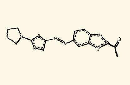 CC(=O)c1nc2ccc(/N=N/c3cnc(N4CCCC4)s3)cc2s1